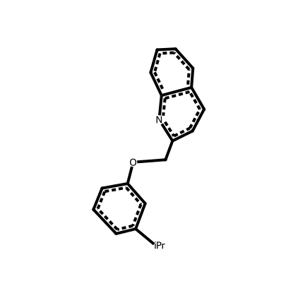 CC(C)c1cccc(OCc2ccc3ccccc3n2)c1